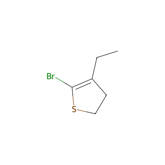 CCC1=C(Br)SCC1